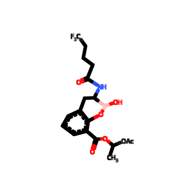 CC(=O)OC(C)OC(=O)c1cccc2c1OB(O)C(NC(=O)CCCC(F)(F)F)C2